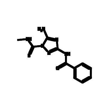 CNC(=S)n1nc(NC(=O)c2ccccc2)nc1N